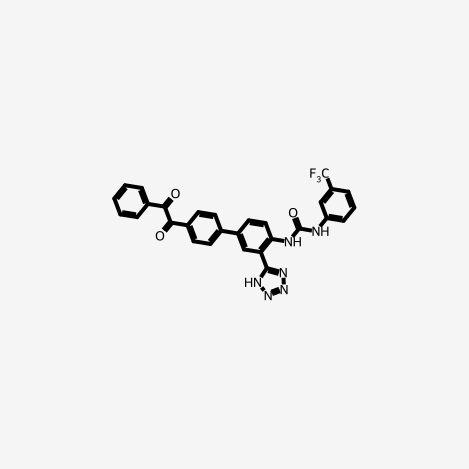 O=C(Nc1cccc(C(F)(F)F)c1)Nc1ccc(-c2ccc(C(=O)C(=O)c3ccccc3)cc2)cc1-c1nnn[nH]1